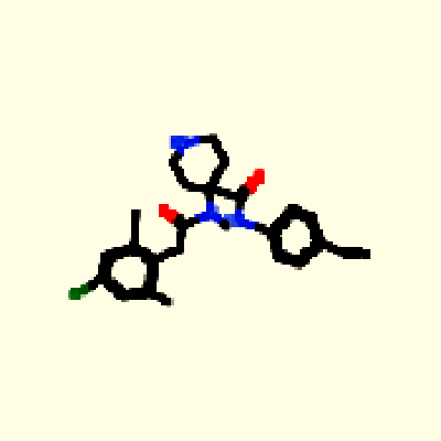 COc1ccc(NC(=O)C2(N(C)C(=O)Cc3c(C)cc(Cl)cc3C)CCNCC2)cc1